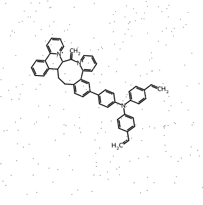 C=Cc1ccc(N(c2ccc(C=C)cc2)c2ccc(-c3ccc4c(c3)-c3cccc[n+]3C(=C)C3C(CC4)c4ccccc4-c4cccc[n+]43)cc2)cc1